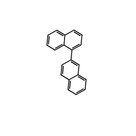 [c]1[c]c2ccccc2cc1-c1cccc2ccccc12